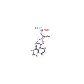 CCCCC[C@H](CN(O)C=O)N1CN=C(c2cccc3c2NCCC3)O1